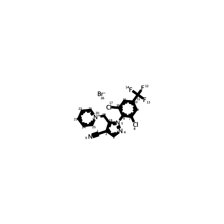 N#Cc1cnn(-c2c(Cl)cc(C(F)(F)F)cc2Cl)c1C[n+]1ccccc1.[Br-]